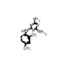 Cc1ccc(Nc2nc(N)nc(N)n2)c(C)c1